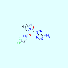 Nc1ncnc2c1ncn2CC(=O)N1[C@@H]2C[C@@H]2C[C@H]1C(=O)NCC1CC1(Cl)Cl